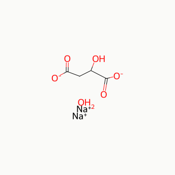 O.O=C([O-])CC(O)C(=O)[O-].[Na+].[Na+]